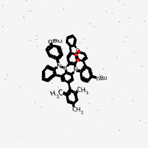 CCCCc1ccc(N2B3c4cc5c(cc4N(c4ccc(CCCC)cc4-c4ccccc4)c4cc(-c6c(C)cc(C)cc6C)cc(c43)-c3ccccc32)oc2ccccc25)cc1